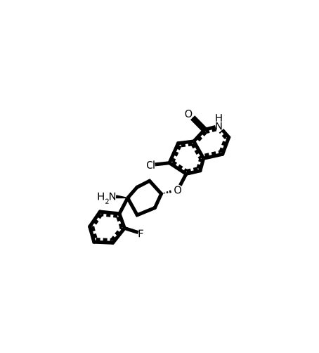 N[C@]1(c2ccccc2F)CC[C@@H](Oc2cc3cc[nH]c(=O)c3cc2Cl)CC1